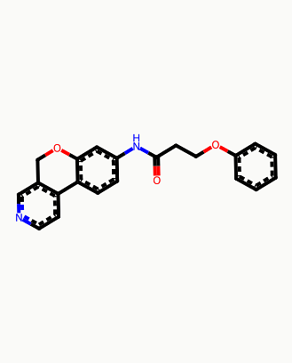 O=C(CCOc1ccccc1)Nc1ccc2c(c1)OCc1cnccc1-2